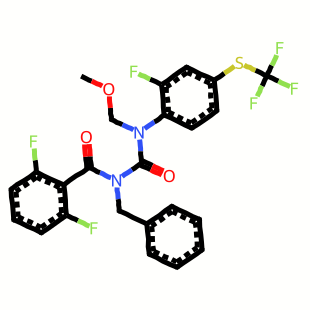 COCN(C(=O)N(Cc1ccccc1)C(=O)c1c(F)cccc1F)c1ccc(SC(F)(F)F)cc1F